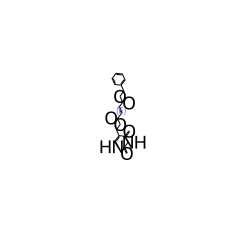 O=C(/C=C/C(=O)OCc1c[nH]c(=O)[nH]c1=O)OCc1ccccc1